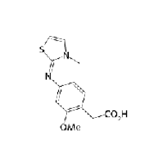 COc1cc(N=c2sccn2C)ccc1CC(=O)O